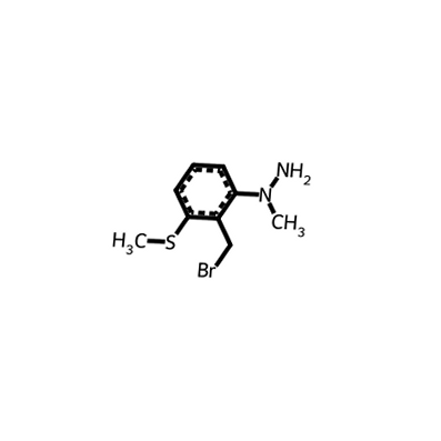 CSc1cccc(N(C)N)c1CBr